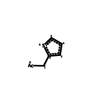 CC(=O)[CH]c1cccs1